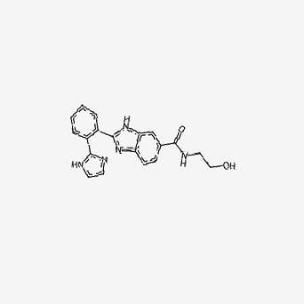 O=C(NCCO)c1ccc2nc(-c3ccccc3-c3ncc[nH]3)[nH]c2c1